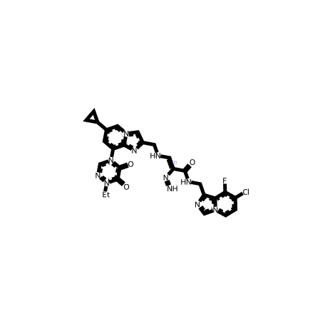 CCn1ncn(-c2cc(C3CC3)cn3cc(CN/C=C(\N=N)C(=O)NCc4ncn5ccc(Cl)c(F)c45)nc23)c(=O)c1=O